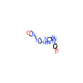 COc1ccc(-n2nnc3cnc(NC4CCN(CCN5CCOCC5)CC4)nc32)cc1